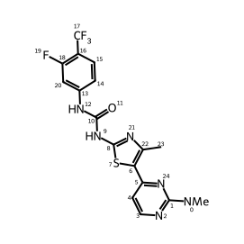 CNc1nccc(-c2sc(NC(=O)Nc3ccc(C(F)(F)F)c(F)c3)nc2C)n1